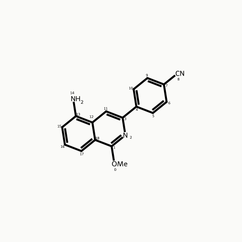 COc1nc(-c2ccc(C#N)cc2)cc2c(N)cccc12